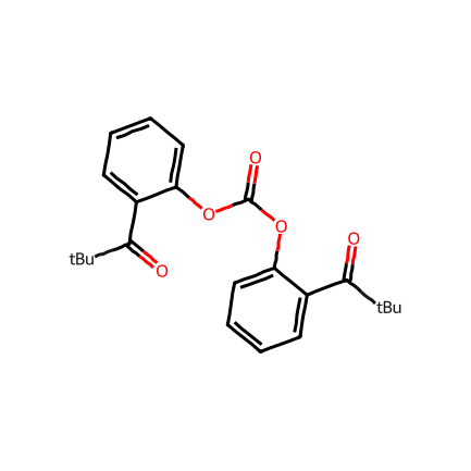 CC(C)(C)C(=O)c1ccccc1OC(=O)Oc1ccccc1C(=O)C(C)(C)C